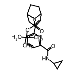 CC(C)(C)OC(=O)N1C2C=C(c3cccc(C(=O)NC4CC4)n3)CC1CC2